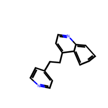 c1ccc2c(CCc3ccncc3)ccnc2c1